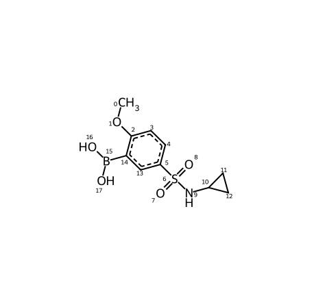 COc1ccc(S(=O)(=O)NC2CC2)cc1B(O)O